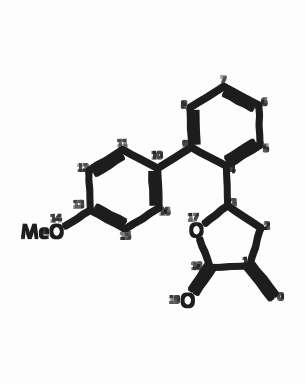 C=C1CC(c2ccccc2-c2ccc(OC)cc2)OC1=O